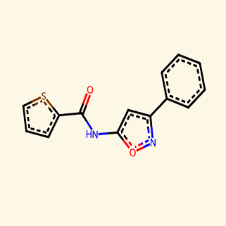 O=C(Nc1cc(-c2ccccc2)no1)c1cccs1